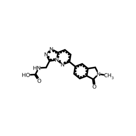 CN1Cc2cc(-c3ccc4nnc(CNC(=O)O)n4n3)ccc2C1=O